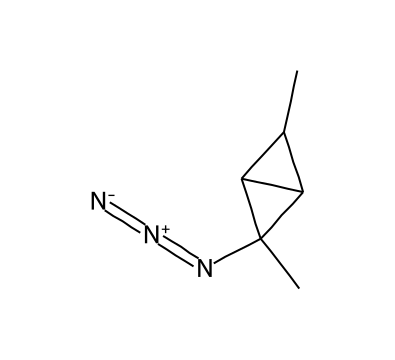 CC1C2C1C2(C)N=[N+]=[N-]